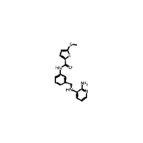 CSc1ccc(C(=O)Nc2cccc(CNc3cccnc3N)c2)s1